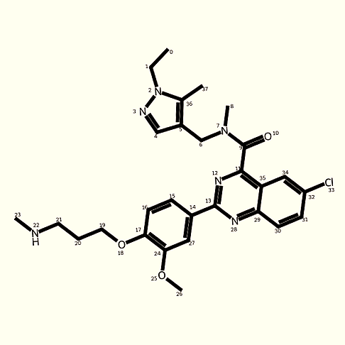 CCn1ncc(CN(C)C(=O)c2nc(-c3ccc(OCCCNC)c(OC)c3)nc3ccc(Cl)cc23)c1C